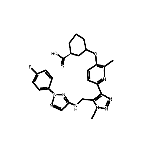 Cc1nc(-c2nnn(C)c2CNc2cnn(-c3ccc(F)cc3)n2)ccc1OC1CCC[C@H](C(=O)O)C1